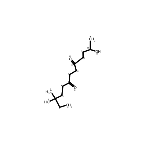 CCC(C)(O)CCC(=O)CCC(=O)CCC(C)O